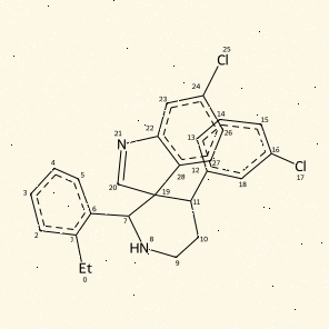 CCc1ccccc1C1NCCC(c2cccc(Cl)c2)C12C=Nc1cc(Cl)ccc12